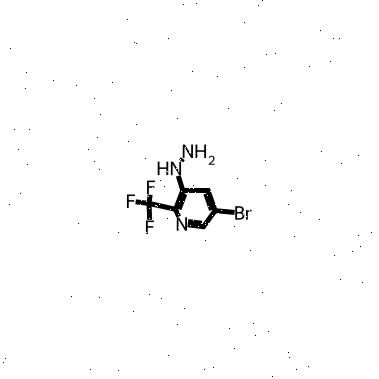 NNc1cc(Br)cnc1C(F)(F)F